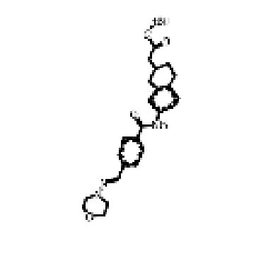 CC(C)(C)OC(=O)CC1CCc2ccc(NC(=O)c3ccc(/C=N/N4CCOCC4)cc3)cc2C1